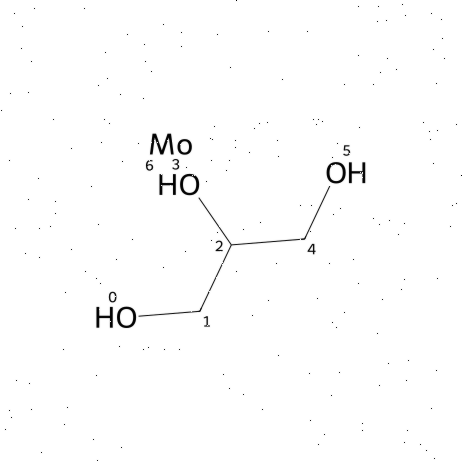 OCC(O)CO.[Mo]